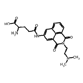 CN(C)CCN1C(=O)c2cccc3cc(NC(=O)CCC(N)C(=O)O)cc(c23)C1=O